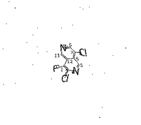 Fc1c(Cl)ncc2c(Cl)cncc12